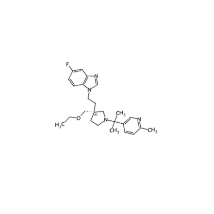 CCOC[C@@]1(CCn2cnc3cc(F)ccc32)CCN(C(C)(C)c2ccc(C)nc2)C1